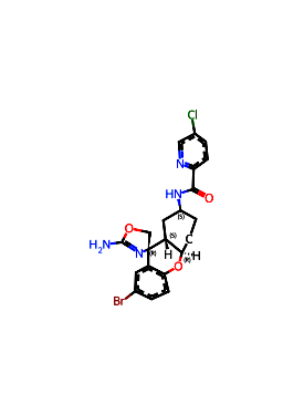 NC1=N[C@@]2(CO1)c1cc(Br)ccc1O[C@@H]1CC[C@H](NC(=O)c3ccc(Cl)cn3)C[C@H]12